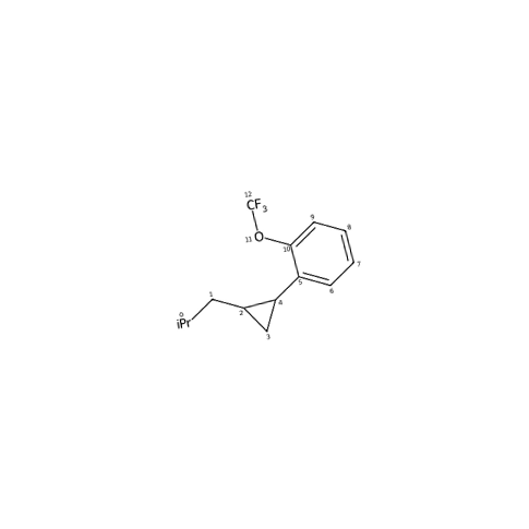 CC(C)CC1CC1c1ccccc1OC(F)(F)F